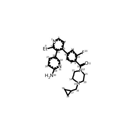 CCc1nccc(-c2ccc(C(=O)N3CCN(CC4CC4)CC3)c(F)c2)c1-c1ccc(N)nc1